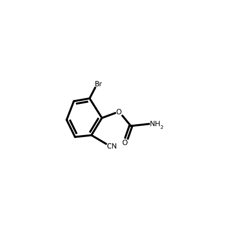 N#Cc1cccc(Br)c1OC(N)=O